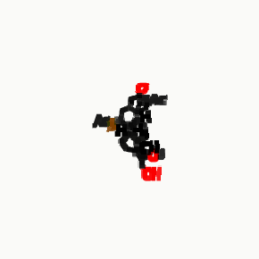 CC(=O)OC[C@]12CCC(=O)C=C1C[C@@H](SC(C)=O)[C@@H]1[C@@H]2CC[C@]2(C)[C@@H](C(=O)CO)CC[C@@H]12